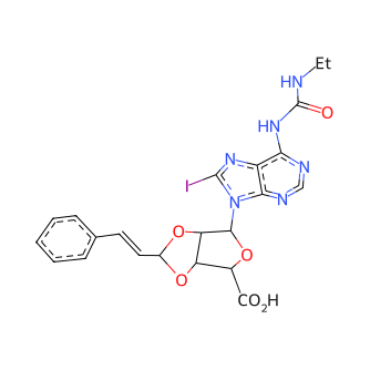 CCNC(=O)Nc1ncnc2c1nc(I)n2C1OC(C(=O)O)C2OC(C=Cc3ccccc3)OC21